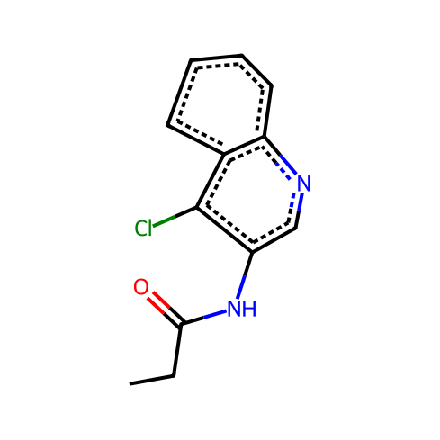 CCC(=O)Nc1cnc2ccccc2c1Cl